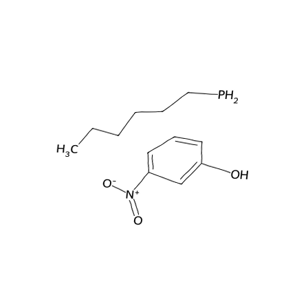 CCCCCCP.O=[N+]([O-])c1cccc(O)c1